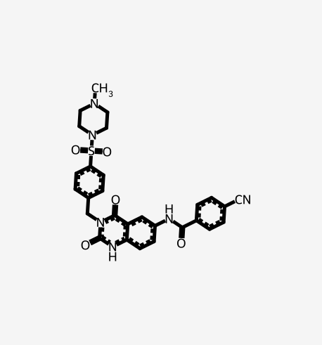 CN1CCN(S(=O)(=O)c2ccc(Cn3c(=O)[nH]c4ccc(NC(=O)c5ccc(C#N)cc5)cc4c3=O)cc2)CC1